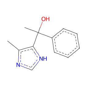 Cc1nc[nH]c1C(C)(O)c1ccccc1